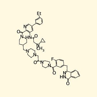 CCc1cccc(-c2cnc(C(=O)N3CCC(CN4CCN(CC(=O)N5CCN(C(=O)c6cc(Cc7n[nH]c(=O)c8ccccc78)ccc6F)CC5)CC4)CC3)c(NC(=O)CN(C)C3CC3)c2)c1